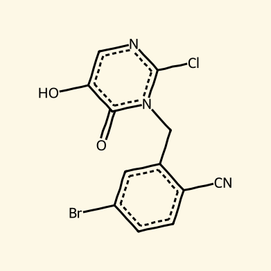 N#Cc1ccc(Br)cc1Cn1c(Cl)ncc(O)c1=O